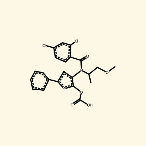 COCC(C)N(C(=O)c1ccc(Cl)cc1Cl)c1cc(-c2ccccc2)sc1OC(=O)O